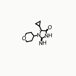 N=C1NC(=O)[C](C2CC2)N1C1CCOCC1